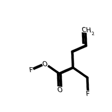 C=CCC(CF)C(=O)OF